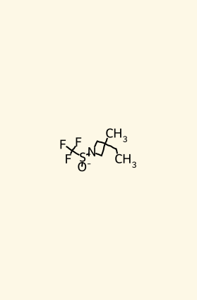 CCC1(C)CN([S+]([O-])C(F)(F)F)C1